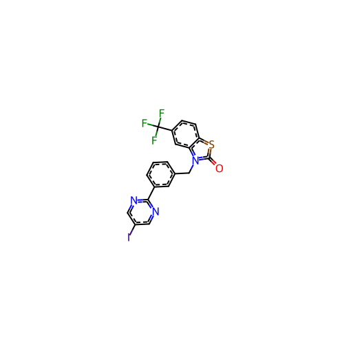 O=c1sc2ccc(C(F)(F)F)cc2n1Cc1cccc(-c2ncc(I)cn2)c1